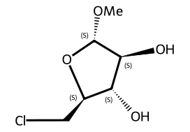 CO[C@H]1O[C@H](CCl)[C@@H](O)[C@@H]1O